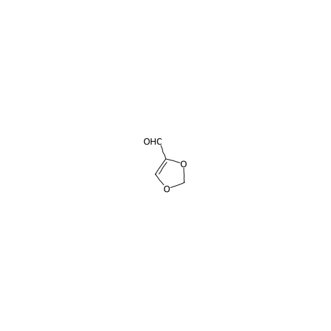 O=CC1=COCO1